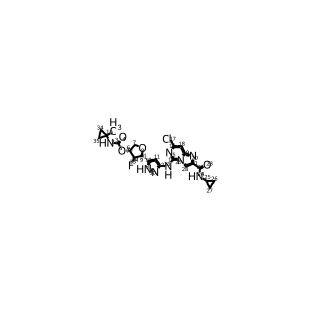 CC1(NC(=O)O[C@@H]2CO[C@H](c3cc(Nc4nc(Cl)cc5nc(C(=O)NC6CC6)cn45)n[nH]3)[C@H]2F)CC1